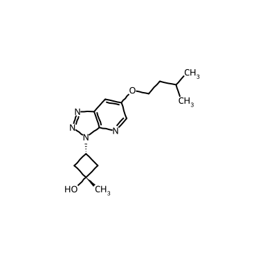 CC(C)CCOc1cnc2c(c1)nnn2[C@H]1C[C@@](C)(O)C1